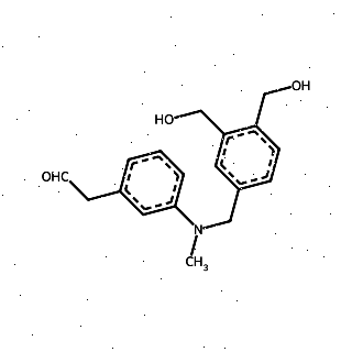 CN(Cc1ccc(CO)c(CO)c1)c1cccc(CC=O)c1